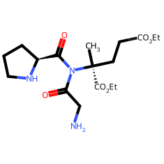 CCOC(=O)CC[C@@](C)(C(=O)OCC)N(C(=O)CN)C(=O)[C@@H]1CCCN1